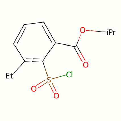 CCc1cccc(C(=O)OC(C)C)c1S(=O)(=O)Cl